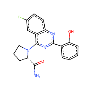 NC(=O)[C@@H]1CCCN1c1nc(-c2ccccc2O)nc2ccc(F)cc12